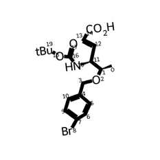 C[C@@H](OCc1ccc(Br)cc1)[C@H](/C=C/C(=O)O)NC(=O)OC(C)(C)C